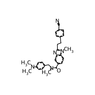 CN(Cc1ccc(N(C)C)cc1)C(=O)c1ccc2c(c1)nc(CCc1ccc(C#N)cc1)n2C